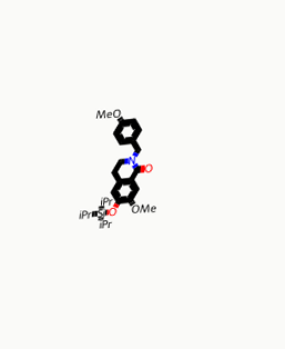 COc1ccc(CN2CCc3cc(O[Si](C(C)C)(C(C)C)C(C)C)c(OC)cc3C2=O)cc1